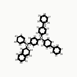 C1=CC(N(c2ccc(N(C3=CC=C(c4ccccc4)CC3)c3ccc(-c4ccccc4)cc3)cc2)C2C=c3ccccc3=CC2)=CCC1